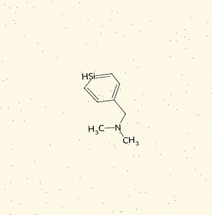 CN(C)Cc1cc[siH]cc1